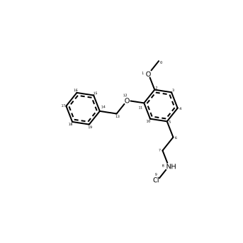 COc1ccc(CCNCl)cc1OCc1ccccc1